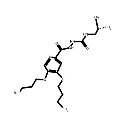 CCCCOc1cnc(C(=O)NNC(=O)NC[C@@H](C)O)cc1OCCCC